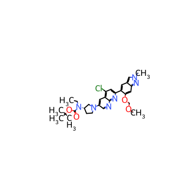 CCN(C(=O)OC(C)(C)C)[C@H]1CCN(c2cnc3nc(-c4cc5cn(C)nc5cc4OCOC)cc(Cl)c3c2)C1